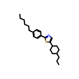 CCCCCCc1ccc(-c2ncc(C3CCC(CCC)CC3)s2)cc1